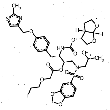 Cc1nc(COc2ccc(C[C@H](NC(=O)O[C@H]3CO[C@H]4OCC[C@H]43)[C@@H](CN(CC(C)C)S(=O)(=O)c3ccc4c(c3)OCO4)OC(=O)COCCI)cc2)cs1